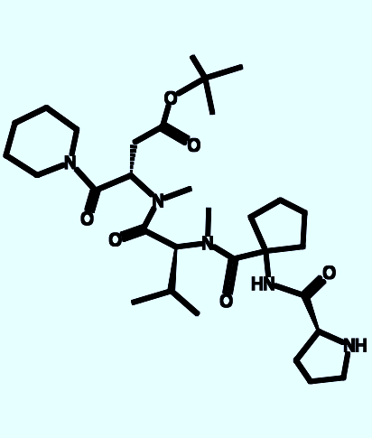 CC(C)[C@@H](C(=O)N(C)[C@@H](CC(=O)OC(C)(C)C)C(=O)N1CCCCC1)N(C)C(=O)C1(NC(=O)[C@@H]2CCCN2)CCCC1